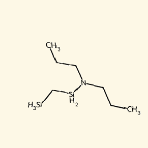 CCCN(CCC)[SiH2]C[SiH3]